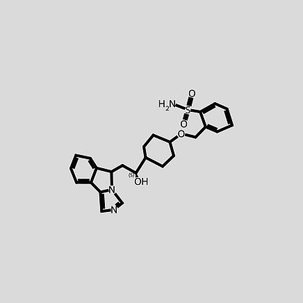 NS(=O)(=O)c1ccccc1COC1CCC([C@@H](O)CC2c3ccccc3-c3cncn32)CC1